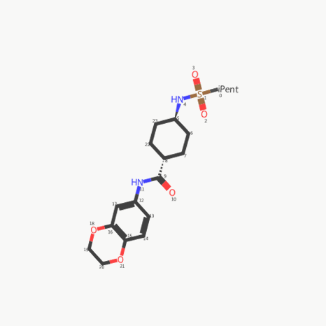 CCCC(C)S(=O)(=O)N[C@H]1CC[C@H](C(=O)Nc2ccc3c(c2)OCCO3)CC1